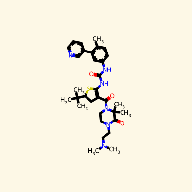 Cc1ccc(NC(=O)NC2=C(C(=O)N3CCN(CCN(C)C)C(=O)C3(C)C)CC(C(C)(C)C)S2)cc1-c1cccnc1